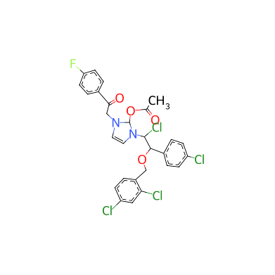 CC(=O)OC1N(CC(=O)c2ccc(F)cc2)C=CN1C(Cl)C(OCc1ccc(Cl)cc1Cl)c1ccc(Cl)cc1